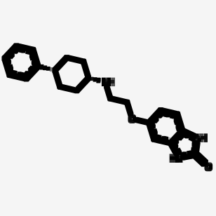 O=c1[nH]c2ccc(OCCN[C@H]3CC[C@@H](c4ccccc4)CC3)cc2[nH]1